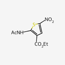 CCOC(=O)c1cc([N+](=O)[O-])sc1NC(C)=O